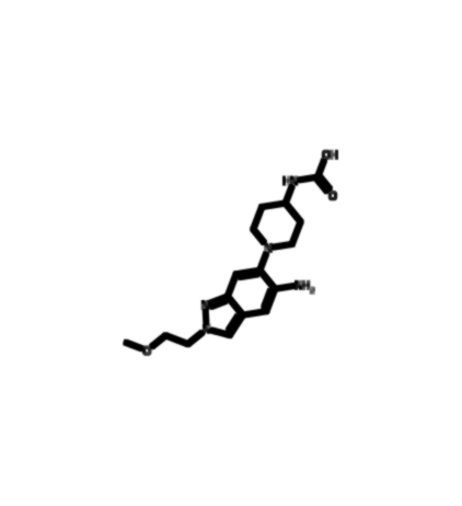 COCCn1cc2cc(N)c(N3CCC(NC(=O)O)CC3)cc2n1